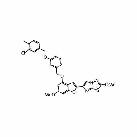 COc1cc(OCc2cccc(OCc3ccc(C)c(Cl)c3)c2)c2cc(-c3cn4nc(OC)sc4n3)oc2c1